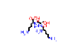 NCCCC[C@H](NC(=O)[C@H](CO)NC(=O)[C@@H](N)CCCCN)C(=O)O